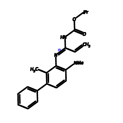 C=C/C(=N\c1c(NC)ccc(-c2ccccc2)c1C)NC(=O)OC(C)C